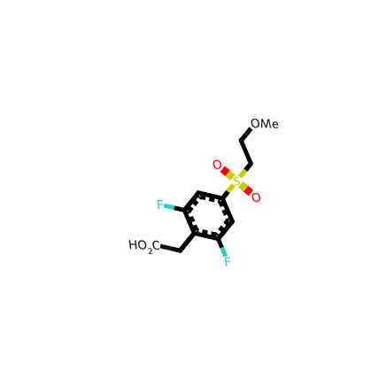 COCCS(=O)(=O)c1cc(F)c(CC(=O)O)c(F)c1